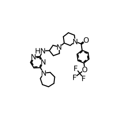 O=C(c1ccc(OC(F)(F)F)cc1)N1CCCC(N2CCC(Nc3nccc(N4CCCCCC4)n3)C2)C1